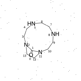 O=C1N2CCNCCNCCN1CC2